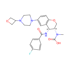 CN(C(=O)O)[C@H]1COc2ccc(N3CCN(C4COC4)CC3)cc2[C@H]1NC(=O)c1ccc(F)cc1